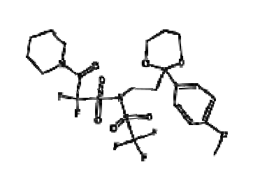 COc1ccc(C2(CCN(S(=O)(=O)C(F)(F)F)S(=O)(=O)C(F)(F)C(=O)N3CCCCC3)OCCCO2)cc1